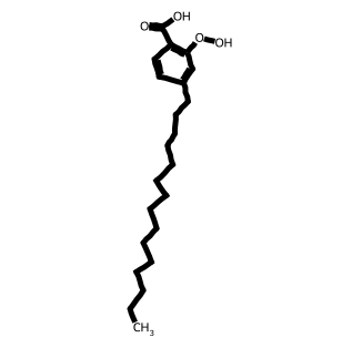 CCCCCCCCCCCCCCCc1ccc(C(=O)O)c(OO)c1